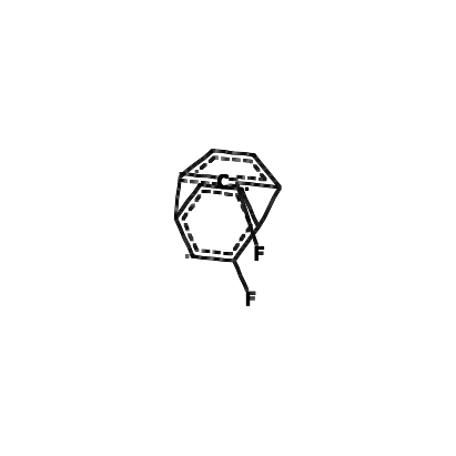 Fc1[c]c2c[c]c1-c1ccc-2cc1F